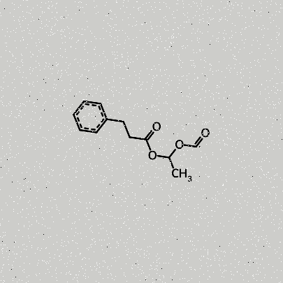 CC(O[C]=O)OC(=O)CCc1ccccc1